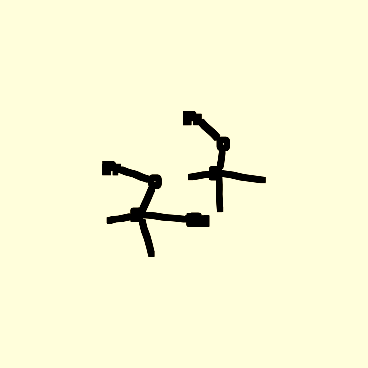 CC(C)O[Si](C)(C)C.CC(C)O[Si](C)(C)C(C)(C)C